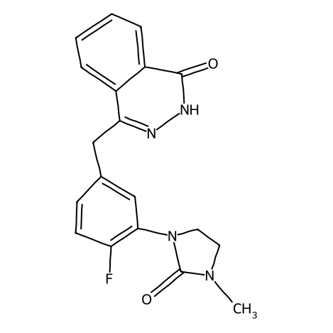 CN1CCN(c2cc(Cc3n[nH]c(=O)c4ccccc34)ccc2F)C1=O